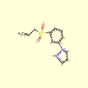 C=CCS(=O)(=O)c1cccc(-n2cccn2)c1